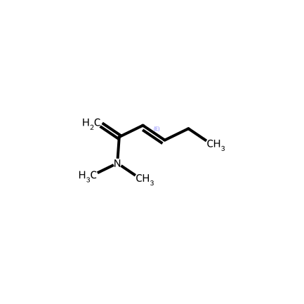 C=C(/C=C/CC)N(C)C